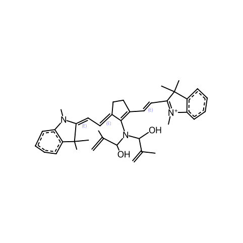 C=C(C)C(O)N(C1=C(/C=C/C2=[N+](C)c3ccccc3C2(C)C)CC/C1=C\C=C1\N(C)c2ccccc2C1(C)C)C(O)C(=C)C